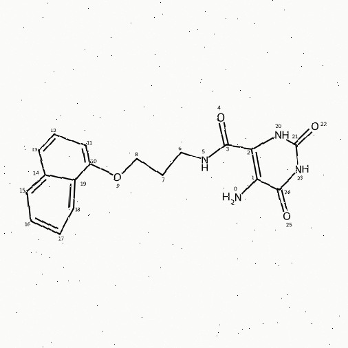 Nc1c(C(=O)NCCCOc2cccc3ccccc23)[nH]c(=O)[nH]c1=O